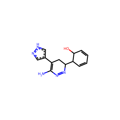 NC1=C(c2cn[nH]c2)CC(C2C=CC=CC2O)N=N1